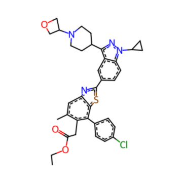 CCOC(=O)Cc1c(C)cc2nc(-c3ccc4c(c3)c(C3CCN(C5COC5)CC3)nn4C3CC3)sc2c1-c1ccc(Cl)cc1